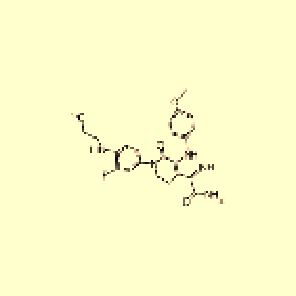 COCCNc1ccc(N2CCC(C(=N)C(N)=O)=C(Nc3ccc(OC)cc3)C2=O)cc1F